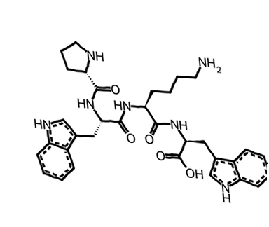 NCCCC[C@H](NC(=O)[C@H](Cc1c[nH]c2ccccc12)NC(=O)[C@@H]1CCCN1)C(=O)N[C@@H](Cc1c[nH]c2ccccc12)C(=O)O